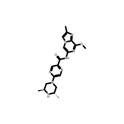 COc1nc(NC(=O)c2cnc(N3C[C@H](C)N[C@@H](C)C3)cn2)cn2cc(C)nc12